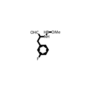 COBNC(C=O)Cc1cccc(F)c1